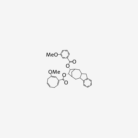 CO/C1=C/C(C(=O)O[C@H]2C3CC4c5ccccc5CC4CC(C3)[C@H]2OC(=O)c2cccc(OC)c2)=C\C/C=C\C1